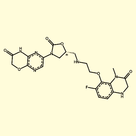 CN1C(=O)CNc2ccc(F)c(OCCNC[C@@H]3CN(c4cnc5c(n4)NC(=O)CO5)C(=O)O3)c21